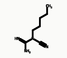 CCCCCN(C#N)C(=N)N